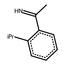 CC(=N)c1ccccc1C(C)C